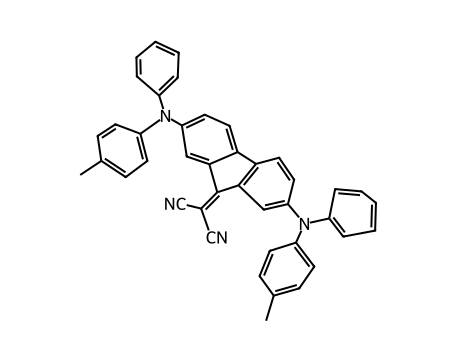 Cc1ccc(N(c2ccccc2)c2ccc3c(c2)C(=C(C#N)C#N)c2cc(N(c4ccccc4)c4ccc(C)cc4)ccc2-3)cc1